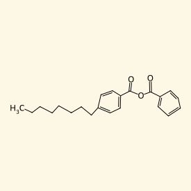 CCCCCCCCc1ccc(C(=O)OC(=O)c2ccccc2)cc1